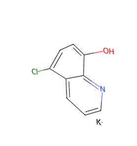 Oc1ccc(Cl)c2cccnc12.[K]